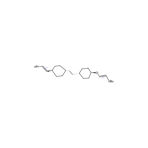 CCC/C=C/[C@H]1CC[C@H](CC[C@H]2CC[C@H](O/C=C/CCCC)CC2)CC1